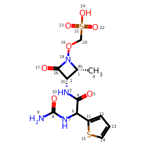 C[C@@H]1[C@H](NC(=O)C(NC(N)=O)c2cccs2)C(=O)N1OCS(=O)(=O)O